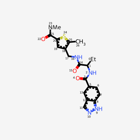 CCC(NC(=O)c1ccc2[nH]ncc2c1)C(=O)NCc1cc(C(=O)NC)sc1C